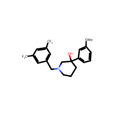 COc1cccc(C2(O)CCCN(Cc3cc(C(F)(F)F)cc(C(F)(F)F)c3)C2)c1